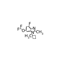 Cc1nc2c(F)cc(OC(F)F)cc2n1C1(C)CCC1